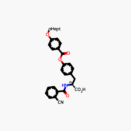 CCCCCCCOc1ccc(C(=O)Oc2ccc(C[C@H](NC(=O)c3ccccc3C#N)C(=O)O)cc2)cc1